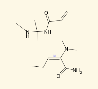 C=CC(=O)NC(C)(C)NC.CC/C=C(\C(N)=O)N(C)C